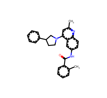 Cc1cc(N2CCC(c3ccccc3)C2)c2cc(NC(=O)c3ccccc3C)ccc2n1